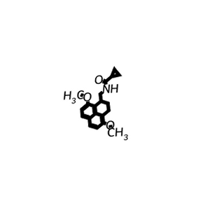 COc1ccc2ccc(OC)c3c2c1CCC3CNC(=O)C1CC1